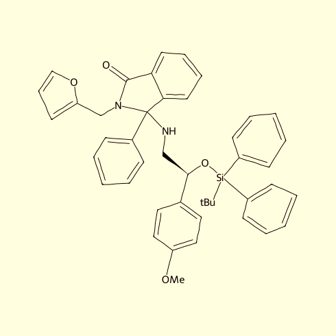 COc1ccc([C@@H](CNC2(c3ccccc3)c3ccccc3C(=O)N2Cc2ccco2)O[Si](c2ccccc2)(c2ccccc2)C(C)(C)C)cc1